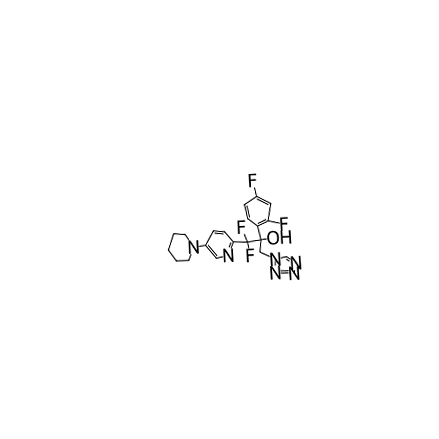 OC(Cn1cnnn1)(c1ccc(F)cc1F)C(F)(F)c1ccc(N2CCCCC2)cn1